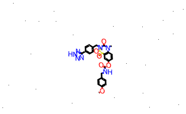 COc1ccc(CNC(=O)Oc2ccc3c(c2)S(=O)(=O)N(Cc2ccc(-c4nn[nH]n4)cc2)C(=O)N3C)cc1